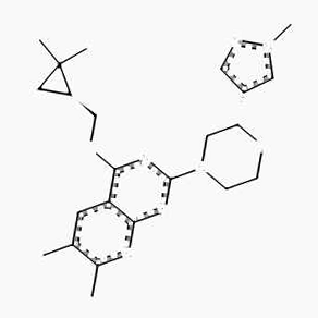 Cc1cc2c(OC[C@H]3CC3(C)C)nc(N3CCO[C@@H](c4cnn(C)c4)C3)nc2nc1C